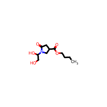 CCCCOC(=O)C1CC(=O)N(C(O)CO)C1